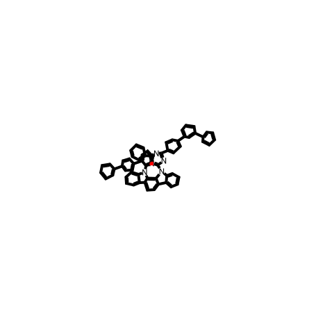 c1ccc(-c2ccc(-c3ccccc3-n3c4ccccc4c4ccc5c6ccccc6n(-c6nc(-c7ccccc7)nc(-c7ccc(-c8cccc(-c9ccccc9)c8)cc7)n6)c5c43)cc2)cc1